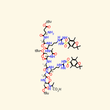 Cc1c(C)c(S(=O)(=O)NC(=N)NCCC[C@H](NC(=O)[C@H](C)NC(=O)[C@H](CC(=O)OC(C)(C)C)NC(=O)[C@H](C)NC(=O)[C@H](CCCNC(=N)NS(=O)(=O)c2c(C)c(C)c3c(c2C)CC(C)(C)O3)NC(=O)[C@H](C)NC(=O)[C@@H](N)CC(=O)OC(C)(C)C)C(=O)N[C@@H](C)C(=O)N[C@@H](CC(=O)OC(C)(C)C)C(=O)N[C@@H](C)C(=O)O)c(C)c2c1OC(C)(C)C2